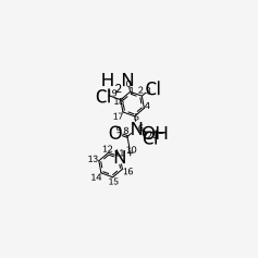 Nc1c(Cl)cc(N(O)C(=O)C[n+]2ccccc2)cc1Cl.[Cl-]